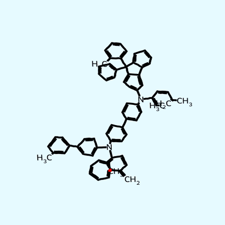 C=C(C)/C=C\C(=C/C)N(c1ccc(-c2ccc(N(C(/C=C\C(=C)C3=CC=C=CC=C3)=C/C)c3ccc(-c4cccc(C)c4)cc3)cc2)cc1)c1ccc2c(c1)-c1ccccc1C2(c1ccccc1)c1ccccc1C